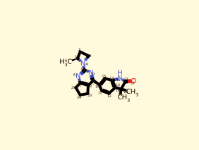 C[C@H]1CCN1c1nc2c(c(-c3ccc4c(c3)NC(=O)C4(C)C)n1)CCC2